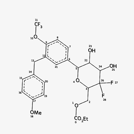 CCOC(=O)OCC1OC(c2ccc(OC(F)(F)F)c(Cc3ccc(OC)cc3)c2)C(O)C(O)C1(F)F